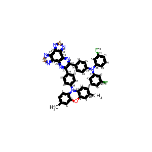 Cc1ccc2c(c1)Oc1cc(C)ccc1N2c1ccc(-c2nc3c4nsnc4c4nsnc4c3nc2-c2ccc(N(c3cccc(F)c3)c3cccc(F)c3)cc2)cc1